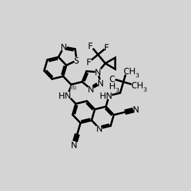 CC(C)(C)CNc1c(C#N)cnc2c(C#N)cc(N[C@H](c3cn(C4(C(F)(F)F)CC4)nn3)c3cccc4ncsc34)cc12